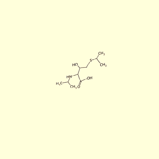 CC(C)NC(C(=O)O)C(O)CSC(C)C